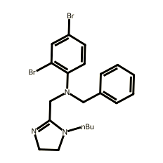 CCCCN1CCN=C1CN(Cc1ccccc1)c1ccc(Br)cc1Br